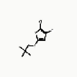 CC(C)(C)CSc1cc(Cl)c(Cl)s1